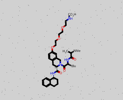 CNC(C)C(=O)NC(C(=O)N1Cc2cc(OCCOCCOCCNC(=O)O)ccc2C[C@H]1C(=O)N[C@@H]1CCCc2ccccc21)C(C)(C)C